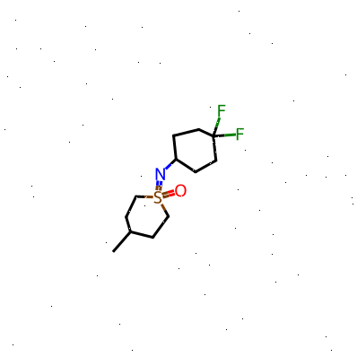 CC1CCS(=O)(=NC2CCC(F)(F)CC2)CC1